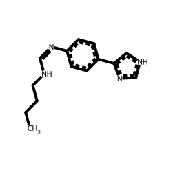 CCCCN/C=N\c1ccc(-c2c[nH]cn2)cc1